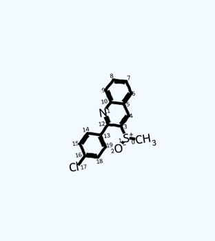 C[S+]([O-])c1cc2ccccc2nc1-c1ccc(Cl)cc1